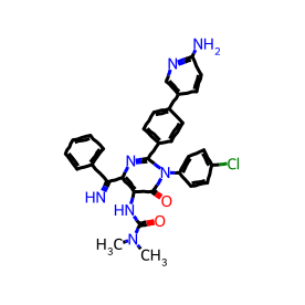 CN(C)C(=O)Nc1c(C(=N)c2ccccc2)nc(-c2ccc(-c3ccc(N)nc3)cc2)n(-c2ccc(Cl)cc2)c1=O